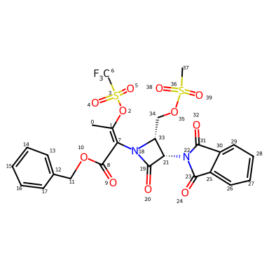 CC(OS(=O)(=O)C(F)(F)F)=C(C(=O)OCc1ccccc1)N1C(=O)[C@@H](N2C(=O)c3ccccc3C2=O)[C@H]1COS(C)(=O)=O